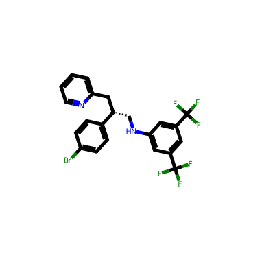 FC(F)(F)c1cc(NC[C@@H](Cc2ccccn2)c2ccc(Br)cc2)cc(C(F)(F)F)c1